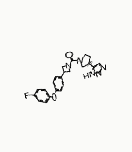 O=C(N1CC(c2ccc(Oc3ccc(F)cc3)cc2)C1)N1CC[C@@H](c2cnn[nH]2)C1